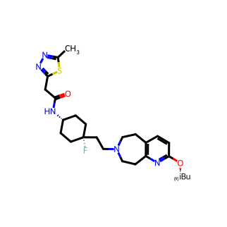 CC[C@@H](C)Oc1ccc2c(n1)CCN(CC[C@]1(F)CC[C@@H](NC(=O)Cc3nnc(C)s3)CC1)CC2